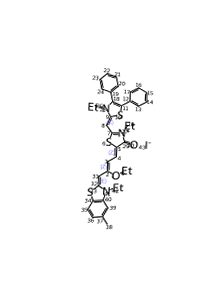 CCOC(=C\C=C1/SC(/C=C2\SC(c3ccccc3)=C(c3ccccc3)N2CC)=[N+](CC)C1=O)/C=C1/Sc2ccc(C)cc2N1CC.[I-]